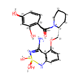 NC1=NS(O)(O)Nc2cccc(OC[C@H]3CCCCN3C(=O)c3ccc(O)cc3O)c21